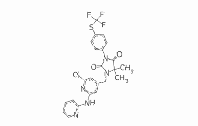 CC1(C)C(=O)N(c2ccc(SC(F)(F)F)cc2)C(=O)N1Cc1cc(Cl)nc(Nc2ccccn2)c1